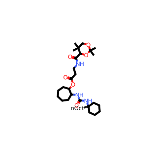 CCCCCCCCC1(NC(=O)NC2CCCCCC2OC(=O)CCNC(=O)C2OC(C)(C)OCC2(C)C)CCCCC1